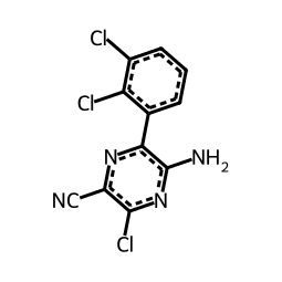 N#Cc1nc(-c2cccc(Cl)c2Cl)c(N)nc1Cl